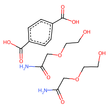 NC(=O)COCCO.NC(=O)COCCO.O=C(O)c1ccc(C(=O)O)cc1